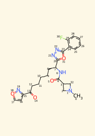 CN1CC(C(=O)N[C@@H](CCCCCC(=O)c2ccon2)c2nnc(-c3ccccc3F)o2)C1